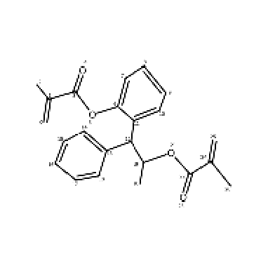 C=C(C)C(=O)Oc1ccccc1C(c1ccccc1)C(C)OC(=O)C(=C)C